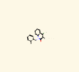 CCOC(=O)c1c(Cl)c2ccccc2n(CC2C=CC=CC2C)c1=O